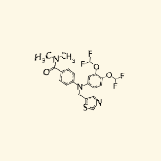 CN(C)C(=O)c1ccc(N(Cc2cncs2)c2ccc(OC(F)F)c(OC(F)F)c2)cc1